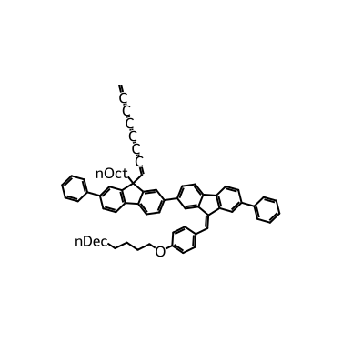 C=C=C=C=C=C=C=CC1(CCCCCCCC)c2cc(-c3ccccc3)ccc2-c2ccc(-c3ccc4c(c3)/C(=C\c3ccc(OCCCCCCCCCCCCCC)cc3)c3cc(-c5ccccc5)ccc3-4)cc21